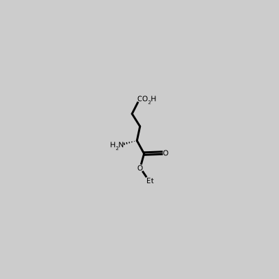 CCOC(=O)[C@H](N)CCC(=O)O